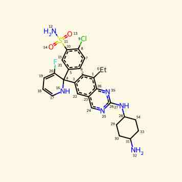 CCc1cc(C2(c3ccc(Cl)c(S(N)(=O)=O)c3)NC=CC=C2F)cc2cnc(NC3CCC(N)CC3)nc12